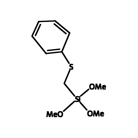 CO[Si](CSc1ccccc1)(OC)OC